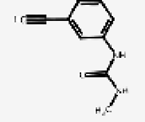 C#Cc1cccc(NC(=O)NC)c1